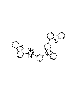 c1cc(-c2nc(-c3cccc4c3sc3ccccc34)ns2)cc(-n2c3ccccc3c3cc(-c4cccc5c4sc4ccccc45)ccc32)c1